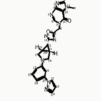 Cn1cnc2ncn(Cc3nc([C@@H]4[C@@H]5CN(c6cccc(-n7cccn7)c6)C[C@@H]54)no3)c(=O)c21